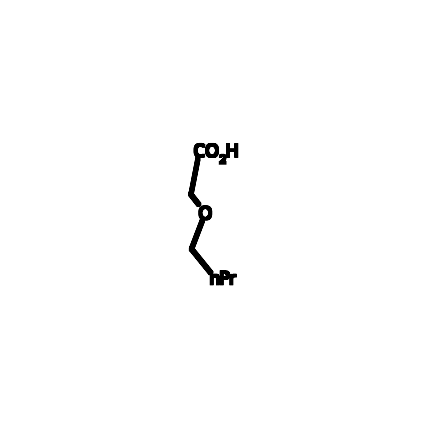 [CH2]CCCOCC(=O)O